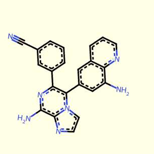 N#Cc1cccc(-c2nc(N)c3nccn3c2-c2cc(N)c3ncccc3c2)c1